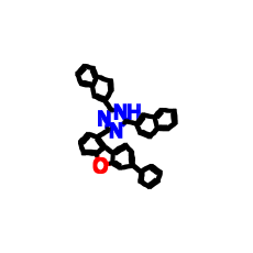 c1ccc(-c2ccc3c(c2)oc2cccc(C4=NC(c5ccc6ccccc6c5)NC(c5ccc6ccccc6c5)=N4)c23)cc1